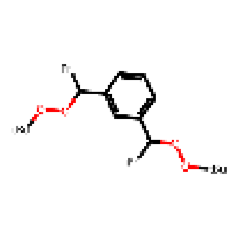 CC(C)C(OOC(C)(C)C)c1cccc(C(OOC(C)(C)C)C(C)C)c1